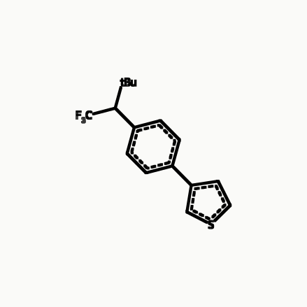 CC(C)(C)C(c1ccc(-c2ccsc2)cc1)C(F)(F)F